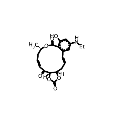 CCNc1cc(O)c2c(c1)/C=C/C[C@@H]1OC(=O)O[C@@H]1C(=O)/C=C\C[C@H](C)OC2=O